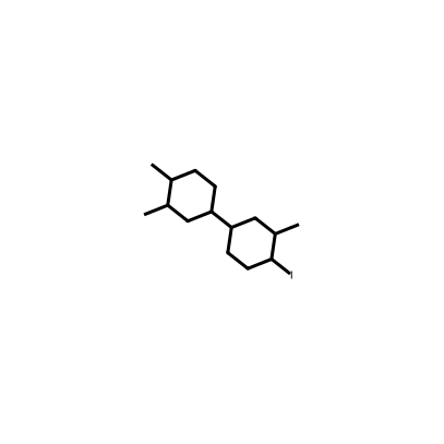 CC1CCC(C2CCC(I)C(C)C2)CC1C